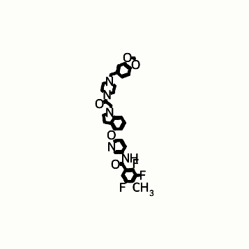 Cc1c(F)cc(C(=O)Nc2ccc(Oc3cccc4c3CCN4CC(=O)N3CCN(Cc4ccc5c(c4)OCO5)CC3)nc2)c(F)c1F